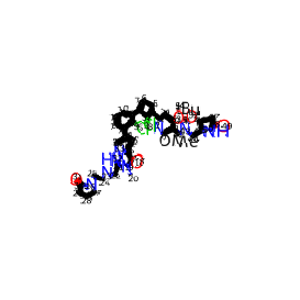 COc1nc(-c2cccc(-c3cccc(-c4cc5c(=O)n(C)c(CNCCN6CCCC6=O)nn5c4)c3Cl)c2Cl)ccc1CN(CC1CCC(=O)N1)C(=O)OC(C)(C)C